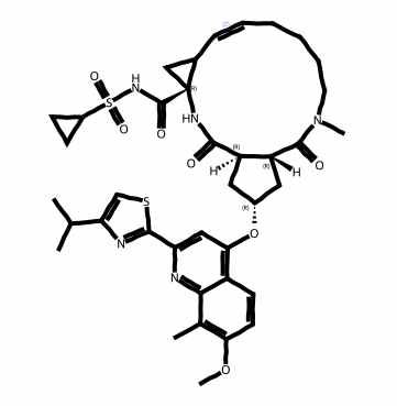 COc1ccc2c(O[C@@H]3C[C@H]4C(=O)N[C@]5(C(=O)NS(=O)(=O)C6CC6)CC5/C=C\CCCCN(C)C(=O)[C@@H]4C3)cc(-c3nc(C(C)C)cs3)nc2c1C